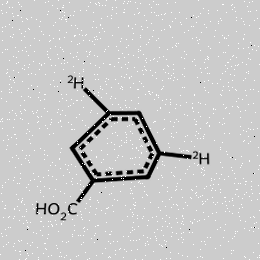 [2H]c1cc([2H])cc(C(=O)O)c1